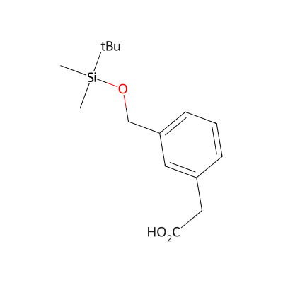 CC(C)(C)[Si](C)(C)OCc1cccc(CC(=O)O)c1